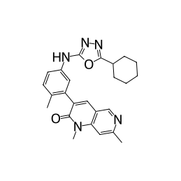 Cc1cc2c(cn1)cc(-c1cc(Nc3nnc(C4CCCCC4)o3)ccc1C)c(=O)n2C